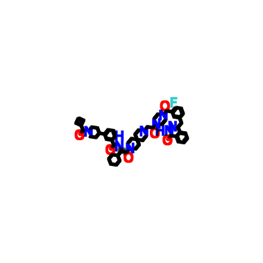 O=C(N[C@@H](C(=O)N1CCC2(CCN(CC(=O)N3CCN(C(=O)c4cc(Cc5n[nH]c(=O)c6ccccc56)ccc4F)CC3)CC2)CC1)C1CCCCC1)c1cccc(C2CCN(C(=O)C34CC(C3)C4)CC2)c1